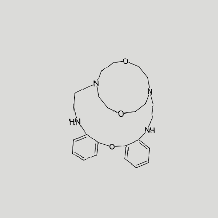 c1ccc2c(c1)NCCN1CCOCCN(CCNc3ccccc3O2)CCOCC1